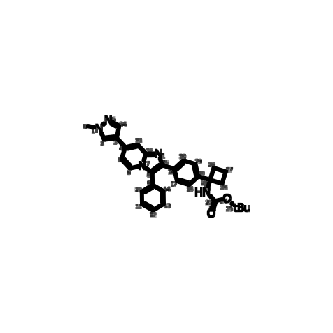 Cn1cc(-c2ccn3c(-c4ccccc4)c(-c4ccc(C5(NC(=O)OC(C)(C)C)CCC5)cc4)nc3c2)cn1